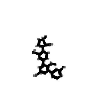 COc1c(-c2ccnc(F)c2)cc(F)cc1-c1ccc(-n2ccn(C)c2=O)c(Cl)c1